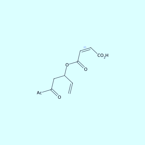 C=CC(CC(=O)C(C)=O)OC(=O)/C=C\C(=O)O